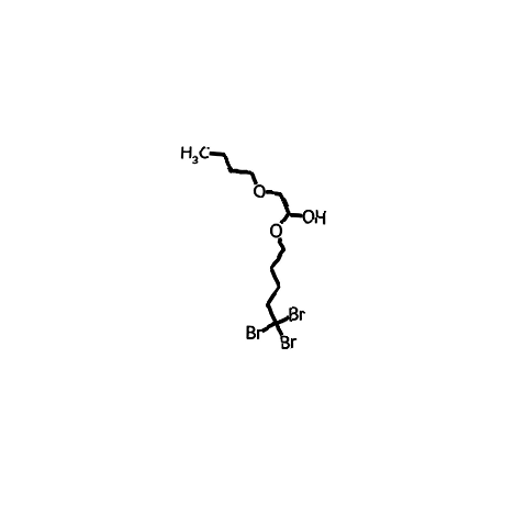 CCCCOCC(O)OCCCCC(Br)(Br)Br